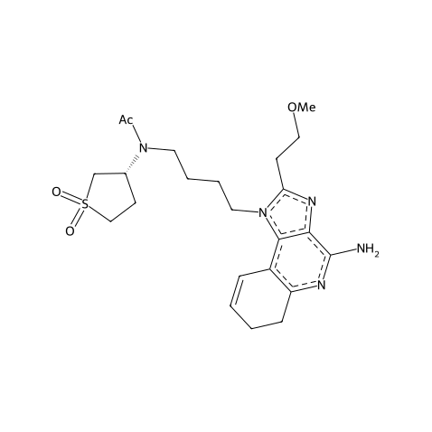 COCCc1nc2c(N)nc3c(c2n1CCCCN(C(C)=O)[C@@H]1CCS(=O)(=O)C1)C=CCC3